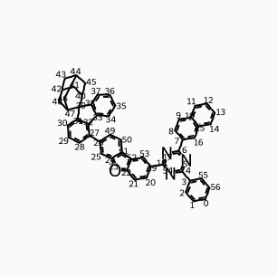 c1ccc(-c2nc(-c3ccc4ccccc4c3)nc(-c3ccc4oc5cc(-c6cccc7c6-c6ccccc6C76C7CC8CC(C7)CC6C8)ccc5c4c3)n2)cc1